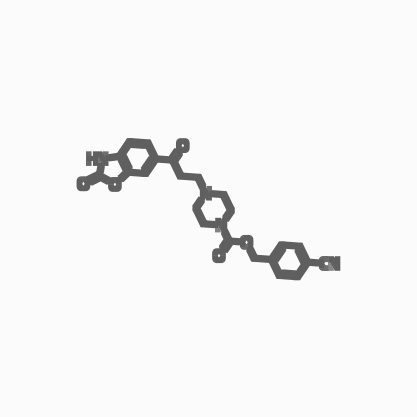 N#Cc1ccc(COC(=O)N2CCN(CCC(=O)c3ccc4[nH]c(=O)oc4c3)CC2)cc1